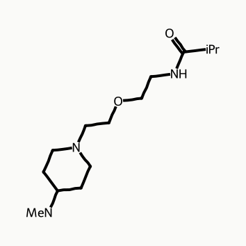 CNC1CCN(CCOCCNC(=O)C(C)C)CC1